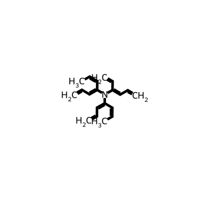 C=C/C=C(\C=C)N(C(/C=C\C)=C/C=C)C(/C=C\C)=C/C=C